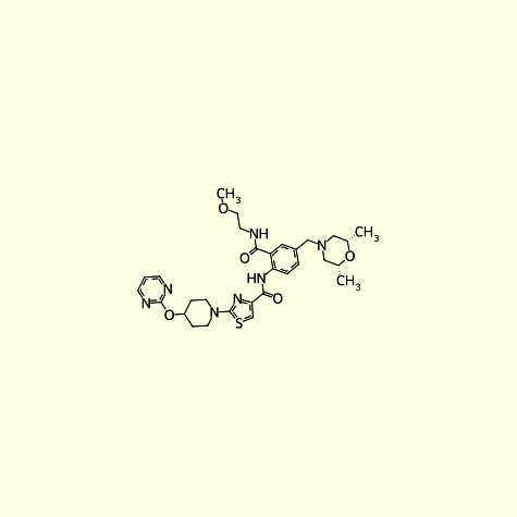 COCCNC(=O)c1cc(CN2C[C@@H](C)O[C@@H](C)C2)ccc1NC(=O)c1csc(N2CCC(Oc3ncccn3)CC2)n1